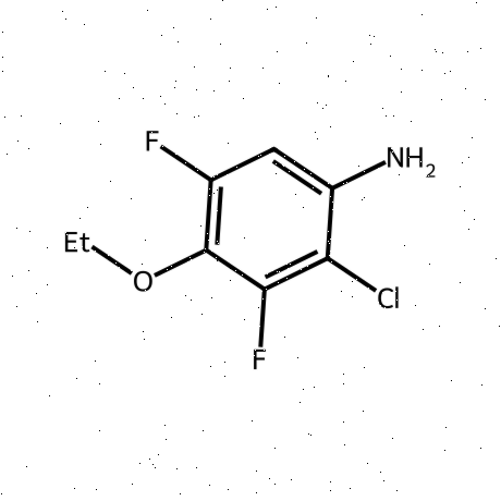 CCOc1c(F)cc(N)c(Cl)c1F